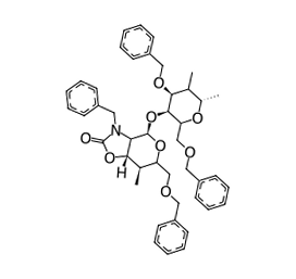 CC1[C@H](C)OC(COCc2ccccc2)[C@@H](O[C@H]2OC(COCc3ccccc3)[C@@H](C)[C@@H]3OC(=O)N(Cc4ccccc4)C23)[C@H]1OCc1ccccc1